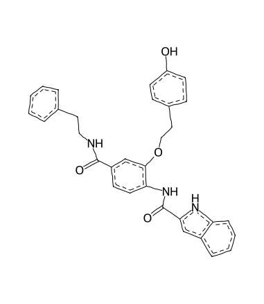 O=C(NCCc1ccccc1)c1ccc(NC(=O)c2cc3ccccc3[nH]2)c(OCCc2ccc(O)cc2)c1